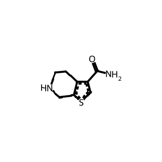 NC(=O)c1csc2c1CCNC2